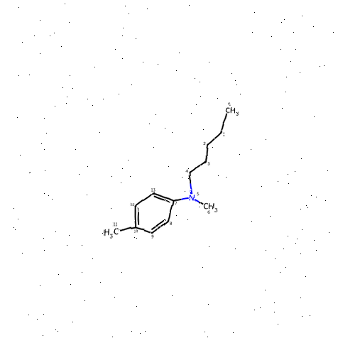 CCCCCN(C)c1ccc(C)cc1